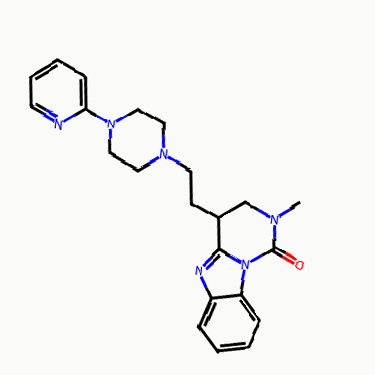 CN1CC(CCN2CCN(c3ccccn3)CC2)c2nc3ccccc3n2C1=O